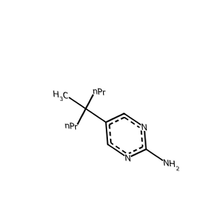 CCCC(C)(CCC)c1cnc(N)nc1